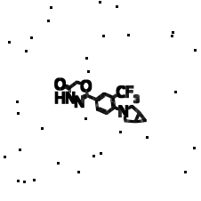 O=C1COC(c2ccc(N3CC4CC4C3)c(C(F)(F)F)c2)=NN1